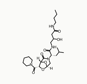 CCCCNC(=O)CC(O)CNC(=O)[C@H](CC(C)C)N1C[C@H]2O[C@H](C(=O)N3CCCCC3)[C@@H](O2)C1=O